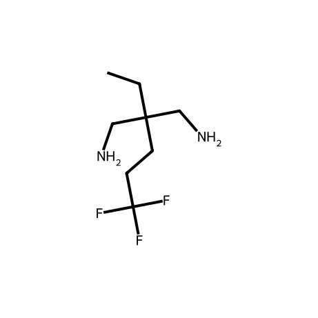 CCC(CN)(CN)CCC(F)(F)F